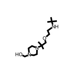 CC(C)(C)NCCOCC(C)(C)N1CCN(CO)CC1